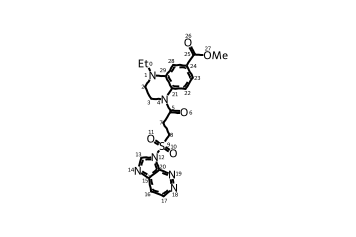 CCN1CCN(C(=O)CCS(=O)(=O)n2cnc3ccnnc32)c2ccc(C(=O)OC)cc21